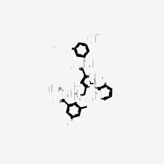 Cc1cc(Cl)cc(C(=O)NC(C)C)c1NC(=O)c1cc(C(=O)Nc2cc(C(F)(F)F)cc(C(F)(F)F)c2)nn1-c1ncccc1Cl